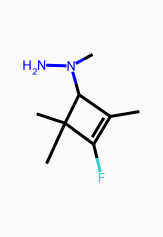 CC1=C(F)C(C)(C)C1N(C)N